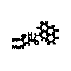 CN[C@@H](CNC(=O)Cc1cc2cccc3ccc4cccc1c4c32)C(=O)C(C)C